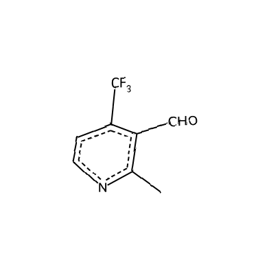 Cc1nccc(C(F)(F)F)c1C=O